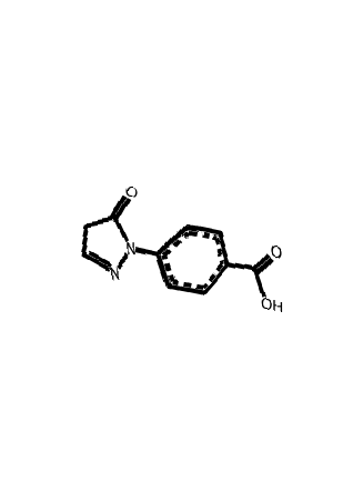 O=C(O)c1ccc(N2N=CCC2=O)cc1